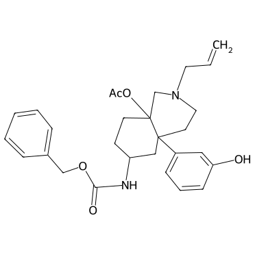 C=CCN1CCC2(c3cccc(O)c3)CC(NC(=O)OCc3ccccc3)CCC2(OC(C)=O)C1